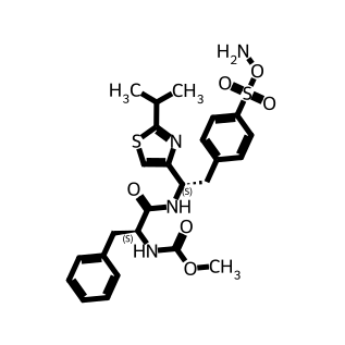 COC(=O)N[C@@H](Cc1ccccc1)C(=O)N[C@@H](Cc1ccc(S(=O)(=O)ON)cc1)c1csc(C(C)C)n1